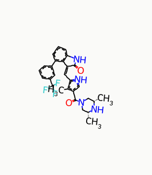 Cc1c(C(=O)N2C[C@@H](C)N[C@@H](C)C2)c[nH]c1C=C1C(=O)Nc2cccc(-c3cccc(C(F)(F)F)c3)c21